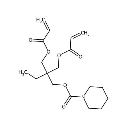 C=CC(=O)OCC(CC)(COC(=O)C=C)COC(=O)N1CCCCC1